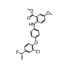 COC(=O)c1cc(OC)ccc1Nc1ccc(Oc2ccc(C(F)F)cc2Cl)cc1